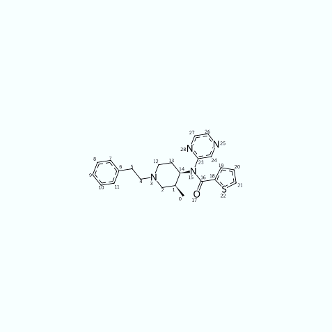 C[C@H]1CN(CCc2ccccc2)CC[C@H]1N(C(=O)c1cccs1)c1cnccn1